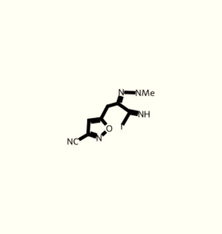 CN/N=C(/Cc1cc(C#N)no1)C(=N)I